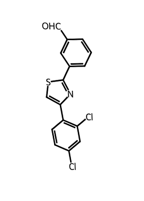 O=Cc1cccc(-c2nc(-c3ccc(Cl)cc3Cl)cs2)c1